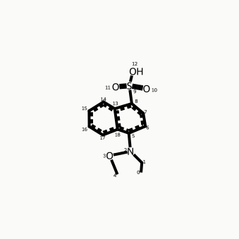 CCN(OC)c1ccc(S(=O)(=O)O)c2ccccc12